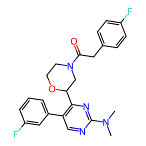 CN(C)c1ncc(-c2cccc(F)c2)c(C2CN(C(=O)Cc3ccc(F)cc3)CCO2)n1